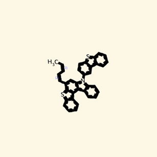 C/C=C\C=C/c1cc2c(c3ccccc3n2-c2ccc3sc4ccccc4c3c2)c2c1sc1ccccc12